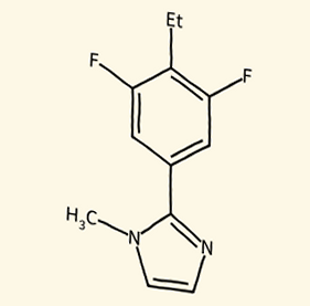 CCc1c(F)cc(-c2nccn2C)cc1F